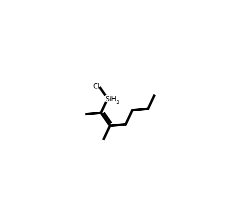 CCCCC(C)=C(C)[SiH2]Cl